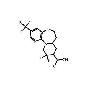 CC(C)C1CC2CCOc3cc(C(F)(F)F)cnc3N2CC1(F)F